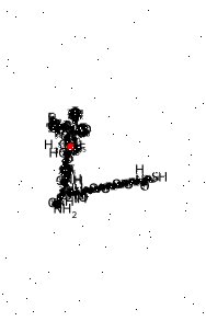 CC(C)[C@H](NC(=O)CCOCCOCCOCCOCCNC(=O)CCS)C(=O)N[C@@H](CCCNC(N)=O)C(=O)Nc1ccc(COC(O)N2C[C@@H](CN(C(=O)[C@@H](C)O)[C@@H](c3nc(-c4cc(F)ccc4F)cn3Cc3ccccc3)C3CCOCC3)[C@@H](F)C2)cc1